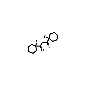 O=C(CC(=O)C1(F)CCCCC1)C1(F)CCCCC1